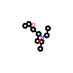 c1ccc(-c2ccc(N(c3cccc(-c4ccccc4)c3)c3ccc(-c4ccc5c(c4)oc4ccc6ccccc6c45)cc3-c3ccccc3)cc2)cc1